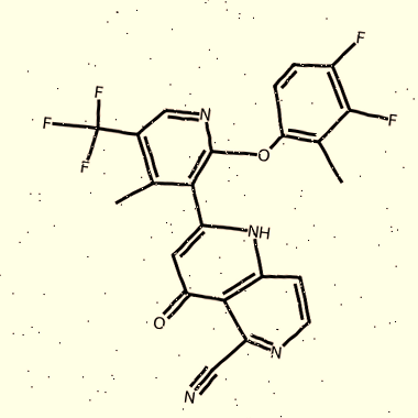 Cc1c(Oc2ncc(C(F)(F)F)c(C)c2-c2cc(=O)c3c(C#N)nccc3[nH]2)ccc(F)c1F